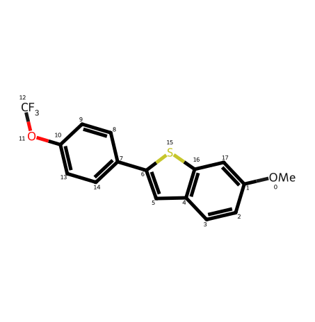 COc1ccc2cc(-c3ccc(OC(F)(F)F)cc3)sc2c1